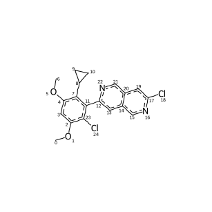 COc1cc(OC)c(C2CC2)c(-c2cc3cnc(Cl)cc3cn2)c1Cl